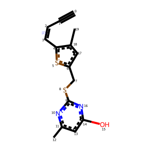 C#C/C=C\c1sc(CSc2nc(C)cc(O)n2)cc1C